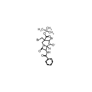 C[Si](C)(C)OC(=O)C1(CBr)CN2C(=O)C(NC(=O)c3ccccc3)[C@H]2[S+]([O-])C1Br